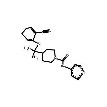 CC(P)(SC1=CCCC=C1C#N)C1CCN(C(=O)Nc2ccnnc2)CC1